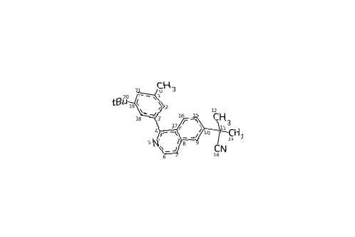 Cc1cc(-c2nccc3cc(C(C)(C)C#N)ccc23)cc(C(C)(C)C)c1